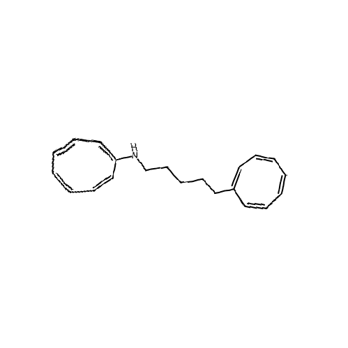 C1=C\C=C/C(CCCCCNC2=C/C=C\C=C/C=C\2)=C\C=C/1